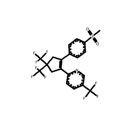 CS(=O)(=O)c1ccc(C2=C(c3ccc(C(F)(F)F)cn3)CC(C(F)(F)F)(C(F)(F)F)C2)cc1